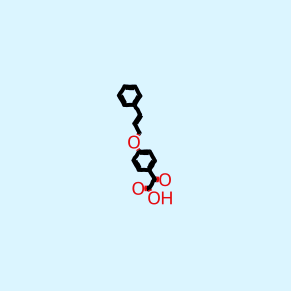 O=C(O)C(=O)c1ccc(OCC=Cc2ccccc2)cc1